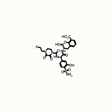 NS(=O)(=O)c1ccc([C@@H](NC(=O)N2CCN(CCF)C(=O)C2=O)C(=O)N[C@H]2Cc3cccc(C(=O)O)c3OB2O)cc1O